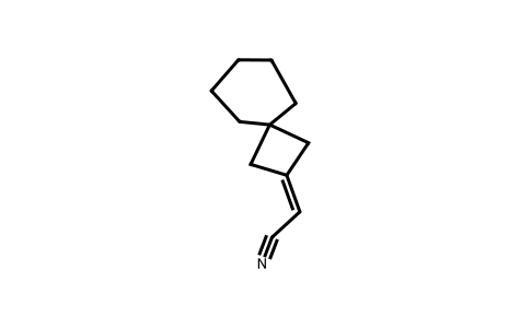 N#CC=C1CC2(CCCCC2)C1